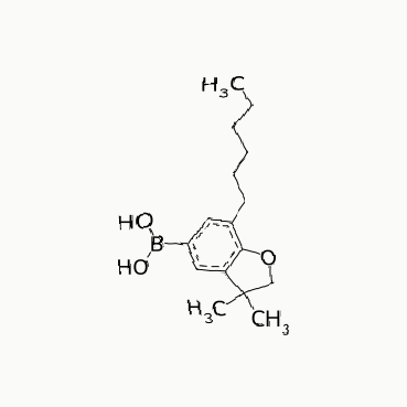 CCCCCCc1cc(B(O)O)cc2c1OCC2(C)C